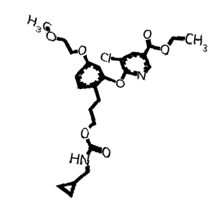 CCOC(=O)c1cnc(Oc2cc(OCCOC)ccc2CCCOC(=O)NCC2CC2)c(Cl)c1